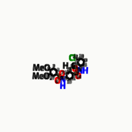 COc1ccc(S(=O)(=O)Nc2ccc(S(=O)(=O)Nc3cccc(Cl)c3C)cc2)cc1OC